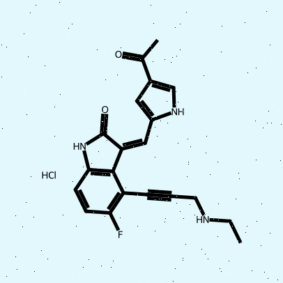 CCNCC#Cc1c(F)ccc2c1/C(=C/c1cc(C(C)=O)c[nH]1)C(=O)N2.Cl